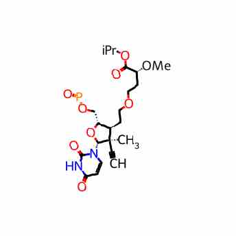 C#C[C@]1(C)[C@H](CCOCC[C@@H](OC)C(=O)OC(C)C)[C@@H](COP=O)O[C@H]1n1ccc(=O)[nH]c1=O